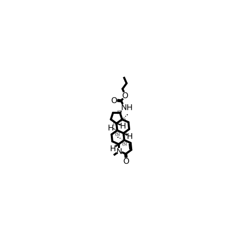 CCCOC(=O)N[C@H]1CC[C@H]2[C@@H]3CC[C@H]4N(C)C(=O)C=C[C@]4(C)[C@H]3CC[C@]12C